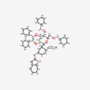 O=C(O)c1ccc(Cc2cc3ccccc3s2)cc1[C@@H]1O[C@H](COCc2ccccc2)[C@@H](OCc2ccccc2)[C@H](OCc2ccccc2)[C@H]1OCc1ccccc1